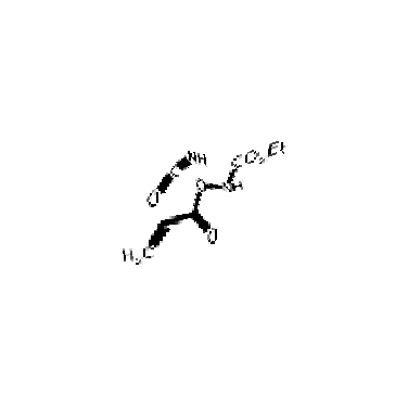 C=CC(=O)ONC(=O)OCC.N=C=O